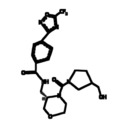 O=C(NC[C@H]1COCCN1C(=O)N1CCC(CO)C1)c1ccc(-c2noc(C(F)(F)F)n2)cc1